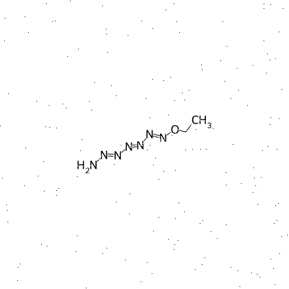 CCON=NN=NN=NN